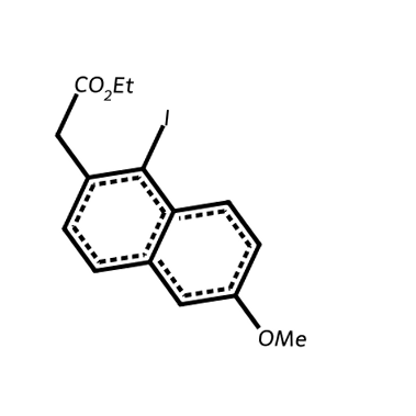 CCOC(=O)Cc1ccc2cc(OC)ccc2c1I